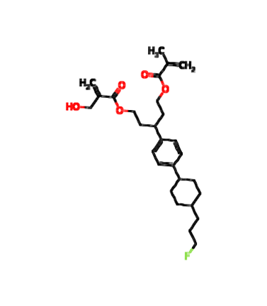 C=C(C)C(=O)OCCC(CCOC(=O)C(=C)CO)c1ccc(C2CCC(CCCF)CC2)cc1